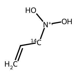 C=C[14CH2][N+](O)O